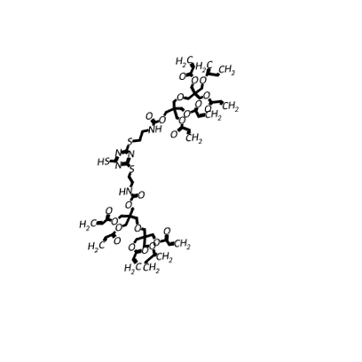 C=CC(=C)OCC(COCC(COC(=O)C=C)(COC(=O)C=C)COC(=O)NCCSc1nc(S)nc(SCCNC(=O)OCC(COCC(COC(=C)C=C)(COC(=O)C=C)COC(=O)C=C)(COC(=O)C=C)COC(=O)C=C)n1)(COC(=O)C=C)COC(=O)C=C